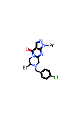 CCC1Cn2c(nc3c(cnn3C(C)C)c2=O)CN1Cc1ccc(Cl)cc1